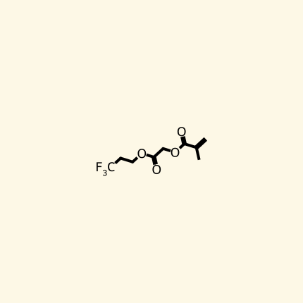 C=C(C)C(=O)OCC(=O)OCCC(F)(F)F